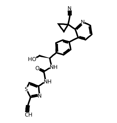 C#Cc1nc(NC(=O)N[C@@H](CO)c2ccc(-c3cccnc3C3(C#N)CC3)cc2)cs1